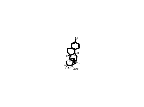 CC(=O)O[C@H]1C[C@]23C=C[C@]1(OC(C)=O)[C@@]2(C)CC[C@@H]1c2ccc(O)cc2CC[C@H]13